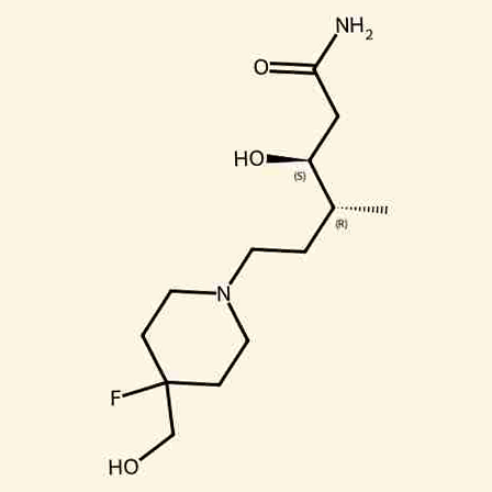 C[C@H](CCN1CCC(F)(CO)CC1)[C@@H](O)CC(N)=O